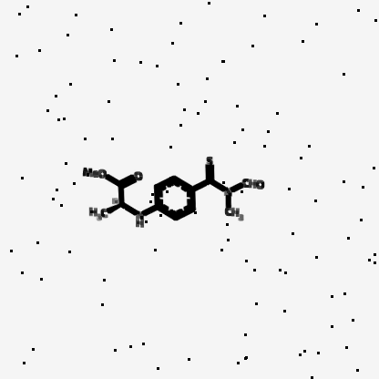 COC(=O)[C@H](C)Nc1ccc(C(=S)N(C)C=O)cc1